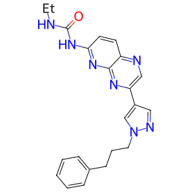 CCNC(=O)Nc1ccc2ncc(-c3cnn(CCCc4ccccc4)c3)nc2n1